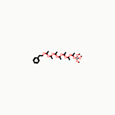 CO[Si](OC)(OC)OC(C)OC(C)OC(C)OC(C)OC(C)OC(C)OC(C)OCCc1ccccc1